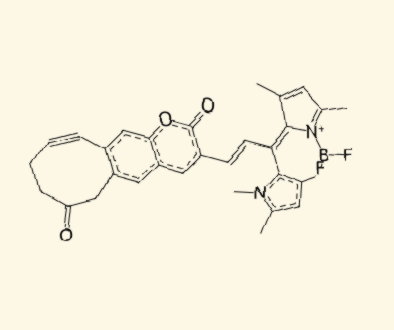 CC1=CC(C)=[N+](B(F)F)/C1=C(/C=C/c1cc2cc3c(cc2oc1=O)C#CCCC(=O)C3)c1c(C)cc(C)n1C